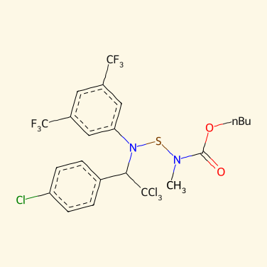 CCCCOC(=O)N(C)SN(c1cc(C(F)(F)F)cc(C(F)(F)F)c1)C(c1ccc(Cl)cc1)C(Cl)(Cl)Cl